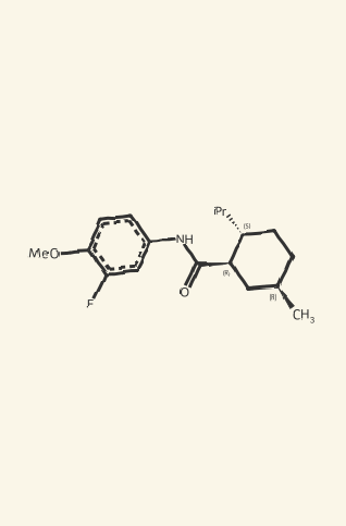 COc1ccc(NC(=O)[C@@H]2C[C@H](C)CC[C@H]2C(C)C)cc1F